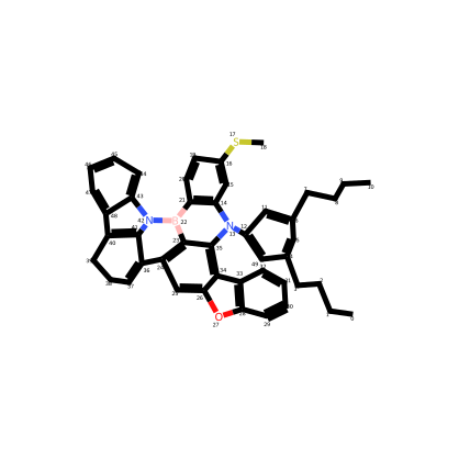 CCCCc1cc(CCCC)cc(N2c3cc(SC)ccc3B3c4c(cc5oc6c#cccc6c5c42)C2=CCCc4c2n3c2ccccc42)c1